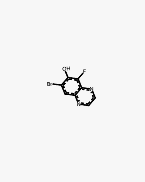 Oc1c(Br)cc2nccnc2c1F